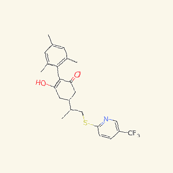 Cc1cc(C)c(C2=C(O)CC(C(C)CSc3ccc(C(F)(F)F)cn3)CC2=O)c(C)c1